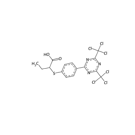 CCC(Sc1ccc(-c2nc(C(Cl)(Cl)Cl)nc(C(Cl)(Cl)Cl)n2)cc1)C(=O)O